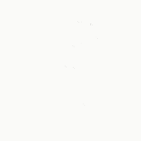 N=C/C(C(=O)Nc1cn(CC(=O)C2CCN(C=O)CC2)nc1-c1cc2ccccc2cc1OC(F)F)=C1/N=CC=CN1